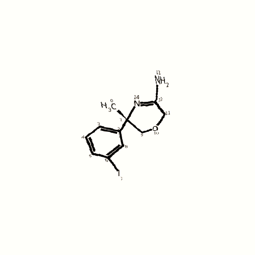 C[C@]1(c2cccc(I)c2)COCC(N)=N1